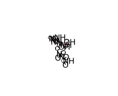 Nc1nnc(-c2ccc(Cn3c(=O)n(C4CCC(=O)NC4=O)c4ccc(C5CCC(O)CC5)cc43)cc2O)cc1N1CC2CCC(C1)N2c1ncc(C2CCNCC2)cn1